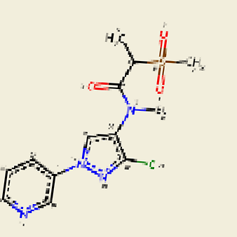 CCN(C(=O)C(C)S(C)(=O)=O)c1cn(-c2cccnc2)nc1Cl